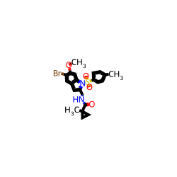 COc1cc2c(cc1Br)cc(CNC(=O)C1(C)CC1)n2S(=O)(=O)c1ccc(C)cc1